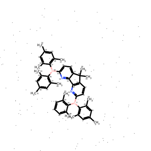 Cc1cc(C)c(B(c2ccc3c(n2)-c2nc(B(c4c(C)cc(C)cc4C)c4c(C)cc(C)cc4C)ccc2C3(C)C)c2c(C)cccc2C)c(C)c1